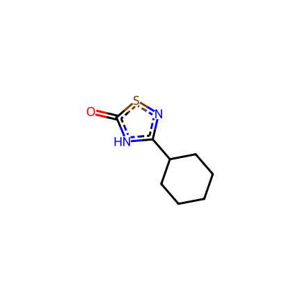 O=c1[nH]c(C2CCCCC2)ns1